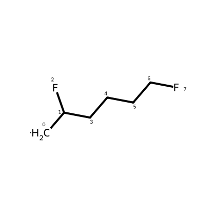 [CH2]C(F)CCCCF